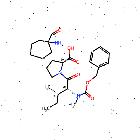 CC[C@H](C)[C@H](C(=O)N1CCC[C@H]1C(=O)O)N(C)C(=O)OCc1ccccc1.NC1(C=O)CCCCC1